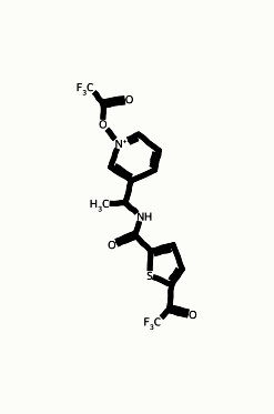 CC(NC(=O)c1ccc(C(=O)C(F)(F)F)s1)c1ccc[n+](OC(=O)C(F)(F)F)c1